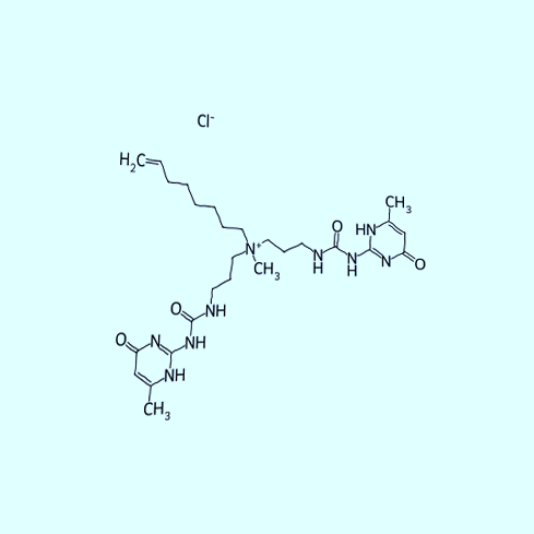 C=CCCCCCC[N+](C)(CCCNC(=O)Nc1nc(=O)cc(C)[nH]1)CCCNC(=O)Nc1nc(=O)cc(C)[nH]1.[Cl-]